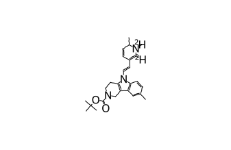 [2H]C1=C(C=Cn2c3c(c4cc(C)ccc42)CN(C(=O)OC(C)(C)C)CC3)C=CC(C)N1[2H]